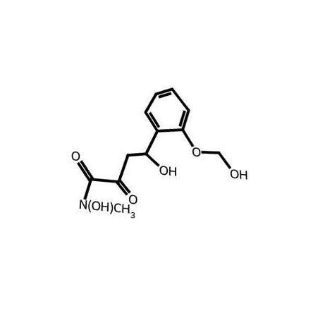 CN(O)C(=O)C(=O)CC(O)c1ccccc1OCO